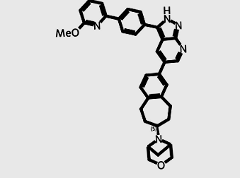 COc1cccc(-c2ccc(-c3[nH]nc4ncc(-c5ccc6c(c5)CC[C@@H](N5C7COCC5C7)CC6)cc34)cc2)n1